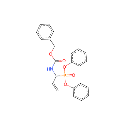 C=CC(NC(=O)OCc1ccccc1)P(=O)(Oc1ccccc1)Oc1ccccc1